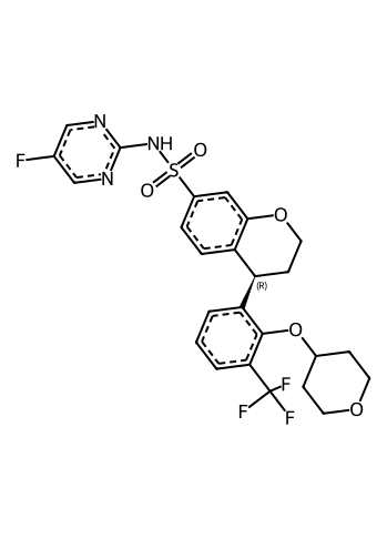 O=S(=O)(Nc1ncc(F)cn1)c1ccc2c(c1)OCC[C@H]2c1cccc(C(F)(F)F)c1OC1CCOCC1